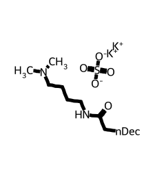 CCCCCCCCCCCC(=O)NCCCCN(C)C.O=S(=O)([O-])[O-].[K+].[K+]